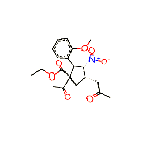 CCOC(=O)[C@]1(C(C)=O)C[C@@H](CC(C)=O)[C@@H]([N+](=O)[O-])[C@@H]1c1ccccc1OC